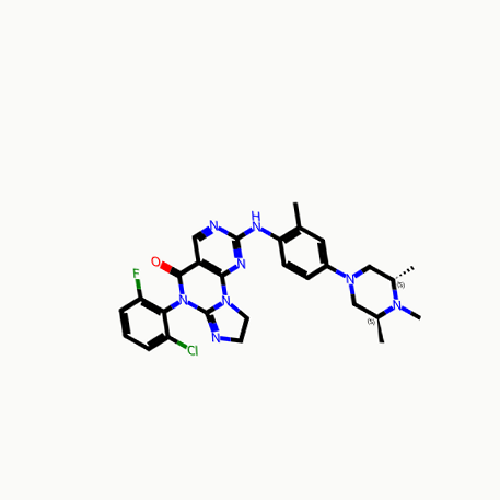 Cc1cc(N2C[C@H](C)N(C)[C@@H](C)C2)ccc1Nc1ncc2c(n1)N1CCN=C1N(c1c(F)cccc1Cl)C2=O